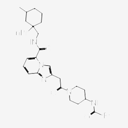 CCCC1(CNC(=O)c2cccc3nc(CC(=O)N4CCC(NC(=O)C(C)C)CC4)cn23)CCCC(C)C1